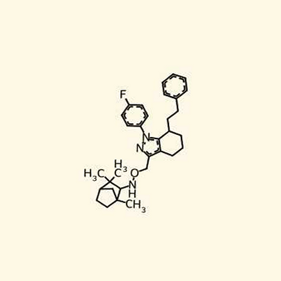 CC12CCC(C1)C(C)(C)C2NOCc1nn(-c2ccc(F)cc2)c2c1CCCC2CCc1ccccc1